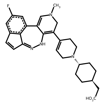 CN1C=C2C(=C(C3=CCN([C@H]4CC[C@H](CC(=O)O)CC4)CC3)C1)NN=C1C=Cc3cc(F)cc2c31